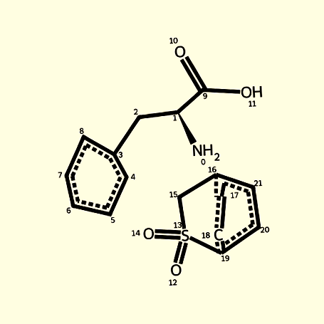 N[C@@H](Cc1ccccc1)C(=O)O.O=S1(=O)Cc2ccc1cc2